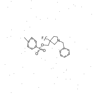 Cc1ccc(S(=O)(=O)OCC2(C(F)(F)F)CCN(Cc3ccccc3)C2)cc1